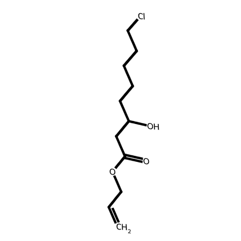 C=CCOC(=O)CC(O)CCCCCCl